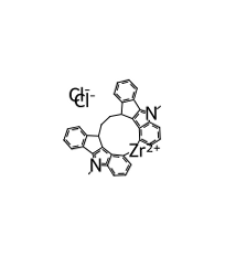 Cn1c2c3c4[c](cccc41)[Zr+2][c]1cccc4c1c1c(n4C)-c4ccccc4C1CCC3c1ccccc1-2.[Cl-].[Cl-]